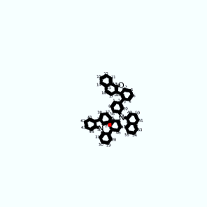 c1cc(-c2cccc3oc4c5ccccc5ccc4c23)cc(N(c2ccc(-c3ccccc3-n3c4ccccc4c4ccccc43)cc2)c2cccc3ccccc23)c1